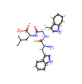 CC(C)C[C@H](NC(=O)[C@H](Cc1c[nH]c2ccccc12)NC(=O)[C@@H](N)Cc1c[nH]c2ccccc12)C(=O)O